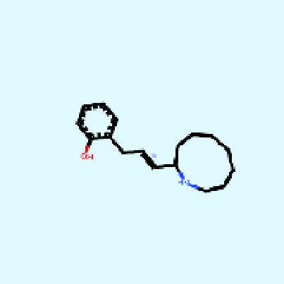 Oc1ccccc1C/C=C/C1CCCCCCCN1